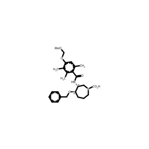 COCOc1cc(C)c(C(=O)N[C@@H]2CN(C(=O)O)CCC[C@H]2OCc2ccccc2)c(C)c1C